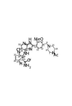 COc1cc(CN2CCN(C(C)=O)CC2)ccc1-c1nc2c(N[C@H]3[C@@H](C(N)=O)[C@@H]4C=C[C@H]3C4)c(Cl)cnc2[nH]1